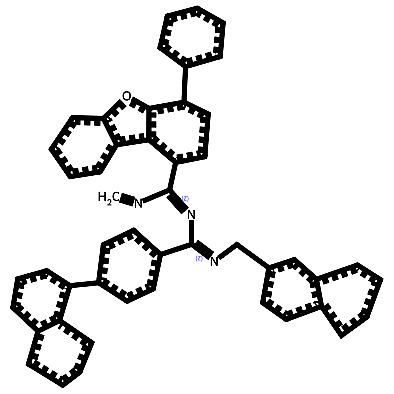 C=N/C(=N\C(=N/Cc1ccc2ccccc2c1)c1ccc(-c2cccc3ccccc23)cc1)c1ccc(-c2ccccc2)c2oc3ccccc3c12